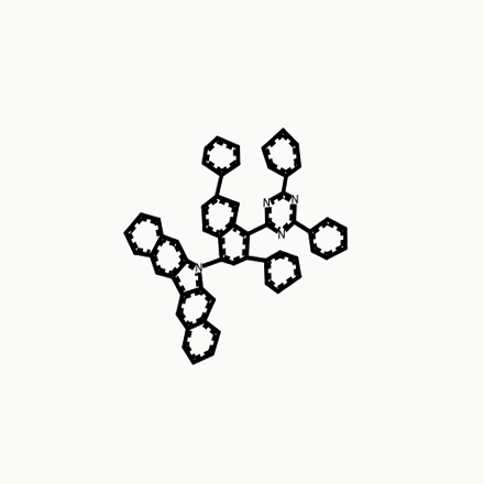 c1ccc(-c2ccc3c(-n4c5cc6ccccc6cc5c5cc6ccccc6cc54)cc(-c4ccccc4)c(-c4nc(-c5ccccc5)nc(-c5ccccc5)n4)c3c2)cc1